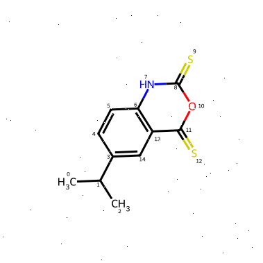 CC(C)c1ccc2[nH]c(=S)oc(=S)c2c1